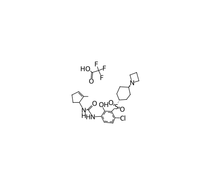 CC1=CCCC1NC(=O)Nc1ccc(Cl)c(S(=O)(=O)[C@H]2CC[C@H](N3CCC3)CC2)c1O.O=C(O)C(F)(F)F